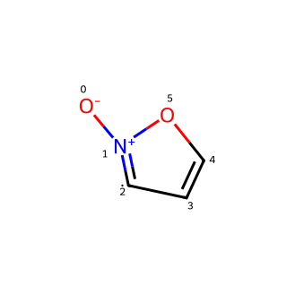 [O-][n+]1[c]cco1